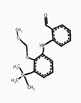 COCOc1c(Pc2ccccc2C=O)cccc1[Si](C)(C)C